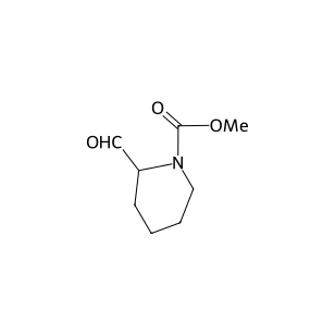 COC(=O)N1CCCCC1C=O